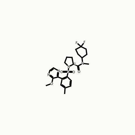 COc1nccnc1-c1cc(C)ccc1S(=O)(=O)N1CCC[C@H]1C(=O)N(C)C1CCC(F)(F)CC1